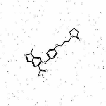 Cn1ncc2cc(C(N)=O)c(Oc3ccc(OCCCN4CCCC4=O)cc3)cc21